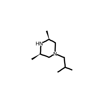 CC(C)CN1C[C@@H](C)N[C@@H](C)C1